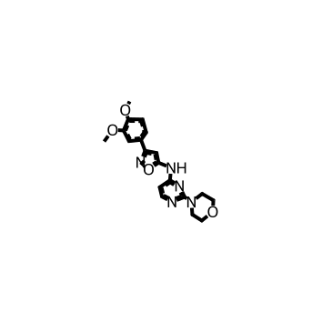 COc1ccc(-c2cc(Nc3ccnc(N4CCOCC4)n3)on2)cc1OC